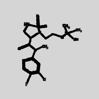 CN(C(=O)C1CNS(=O)(=O)N1CCO[Si](C)(C)C(C)(C)C)c1ccc(F)c(Cl)c1